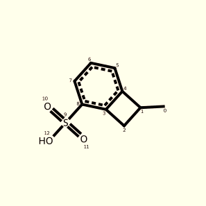 CC1Cc2c1cccc2S(=O)(=O)O